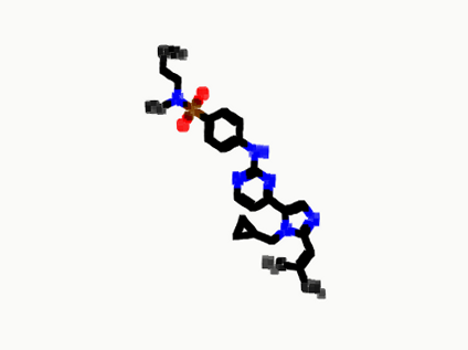 COCCN(C(C)(C)C)S(=O)(=O)c1ccc(Nc2nccc(-c3cnc(C=C(C)C)n3CC3CC3)n2)cc1